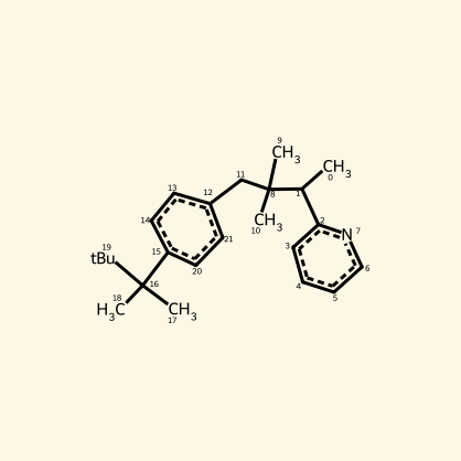 CC(c1ccccn1)C(C)(C)Cc1ccc(C(C)(C)C(C)(C)C)cc1